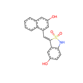 O=S1(=O)Nc2ccc(O)cc2C1=Cc1cc(O)cc2ccccc12